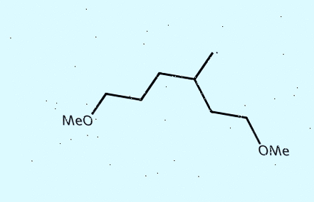 [CH2]C(CCCOC)CCOC